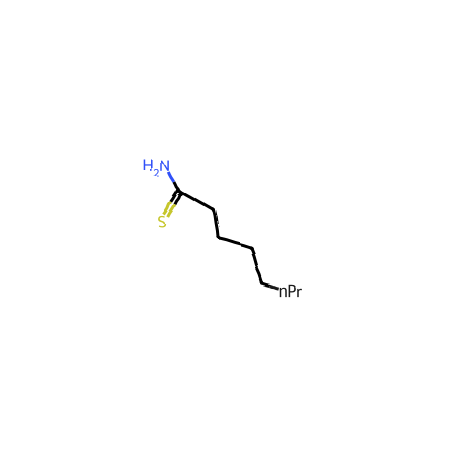 CCCCCCCC(N)=S